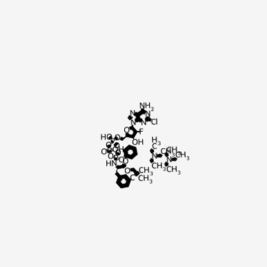 CC(C)(C)COC(=O)[C@H](Cc1ccccc1)NP(=O)(Oc1ccccc1)OP(=O)(O)OP(=O)(O)OC[C@H]1O[C@@H](n2cnc3c(N)nc(Cl)nc32)[C@@H](F)[C@@H]1O.CCN(CC)CC.CCN(CC)CC